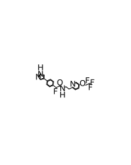 O=C(NCCc1ccc(OCC(F)(F)F)cn1)C(F)c1ccc(-c2cn[nH]c2)cc1